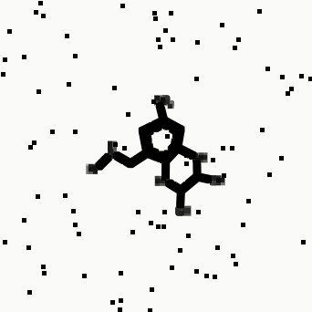 CC(C)NCc1cc([N+](=O)[O-])cc2c1NC(O)C(O)N2